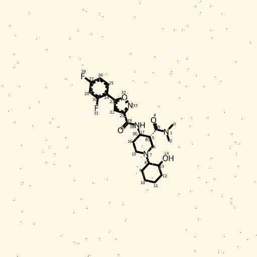 CN(C)C(=O)[C@@H]1CN(C2CCCCC2O)CC[C@H]1NC(=O)c1cc(-c2ccc(F)cc2F)on1